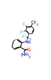 NC(=O)c1ccccc1NC(F)(F)c1ccc(C(F)(F)F)c(F)c1F